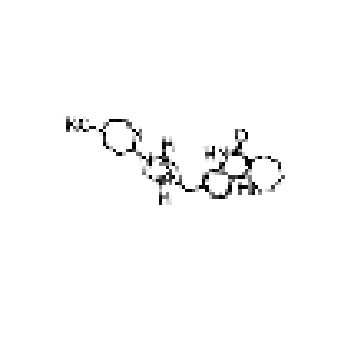 N#CC1=CCC(N2C[C@@H]3C[C@H]2CN3Cc2ccc3c4c(c(=O)[nH]c3c2)CCCCN4)N=CC1